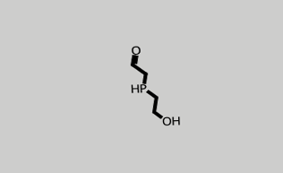 O=CCPCCO